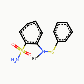 CCN(Sc1ccccc1)c1ccccc1S(N)(=O)=O